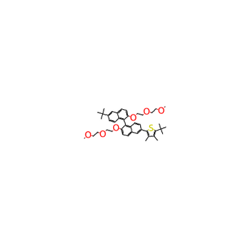 COCCOCCOc1ccc2cc(-c3sc(C(C)(C)C)c(C)c3C)ccc2c1-c1c(OCCOCCOC)ccc2cc(C(C)(C)C)ccc12